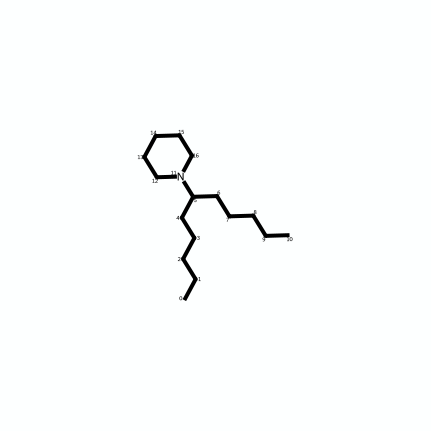 CCCCCC(CCCCC)N1CCCCC1